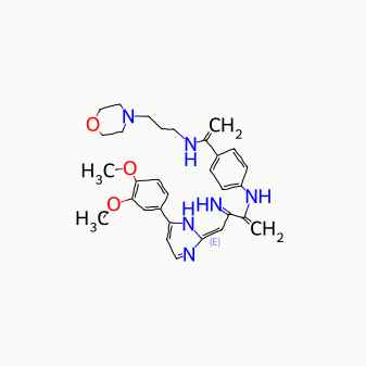 C=C(Nc1ccc(C(=C)NCCCN2CCOCC2)cc1)C(=N)/C=C1/N=CC=C(c2ccc(OC)c(OC)c2)N1